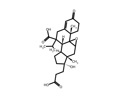 CC(C)C1(C(=O)O)CC2=CC(=O)CC[C@]2(C)C23OC2C[C@@]2(C)[C@@H](CC[C@]2(O)CCC(=O)O)[C@H]13